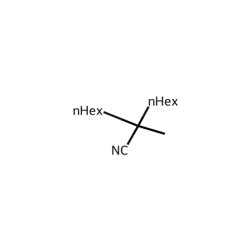 CCCCCCC(C)(C#N)CCCCCC